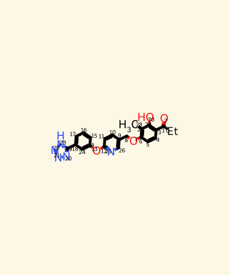 CCC(=O)c1ccc(OCc2ccc(Oc3cccc(-c4nnn[nH]4)c3)nc2)c(C)c1O